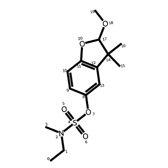 CCN(C)S(=O)(=O)Oc1ccc2c(c1)C(C)(C)C(OC)O2